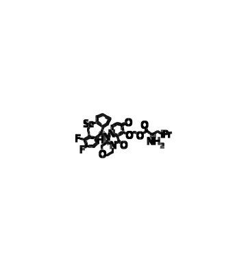 CC(C)C[C@H](N)C(=O)OCOc1c2n(ccc1=O)N([C@@H]1c3ccccc3[Se]Cc3c1ccc(F)c3F)[C@@H]1COCCN1C2=O